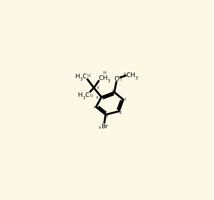 COc1c[c]c(Br)cc1C(C)(C)C